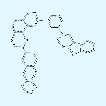 c1cc(-c2ccc3oc4ccccc4c3c2)cc(-c2ccc3ccc4ccc(-c5ccc6cc7ccccc7cc6c5)nc4c3n2)c1